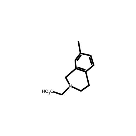 Cc1ccc2c(c1)CN(CC(=O)O)CC2